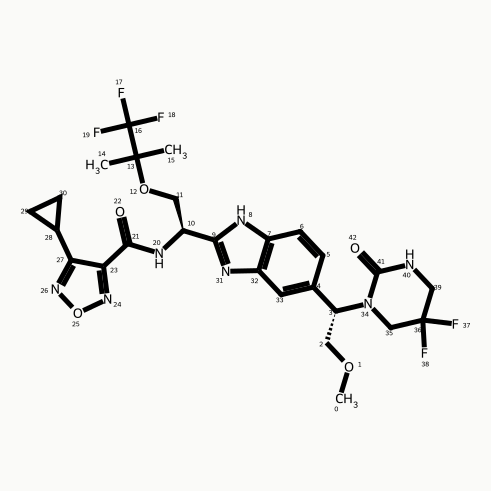 COC[C@H](c1ccc2[nH]c([C@H](COC(C)(C)C(F)(F)F)NC(=O)c3nonc3C3CC3)nc2c1)N1CC(F)(F)CNC1=O